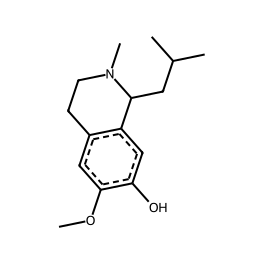 COc1cc2c(cc1O)C(CC(C)C)N(C)CC2